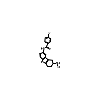 CCNC1CCc2[nH]c3ccc(NC(=O)c4ccc(Br)cc4)cc3c2C1